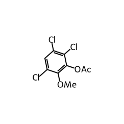 COc1c(Cl)cc(Cl)c(Cl)c1OC(C)=O